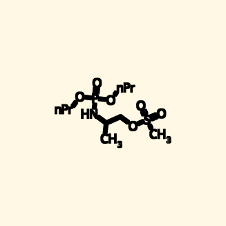 CCCOP(=O)(NC(C)COS(C)(=O)=O)OCCC